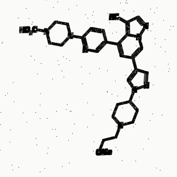 COCCN1CCC(n2cc(-c3cc(-c4ccc(N5CCN(C(=O)O)CC5)nc4)c4c(C#N)cnn4c3)cn2)CC1